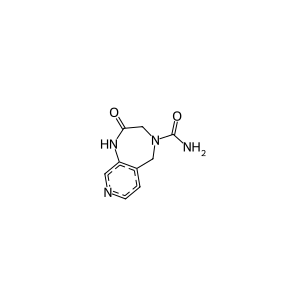 NC(=O)N1CC(=O)Nc2cnccc2C1